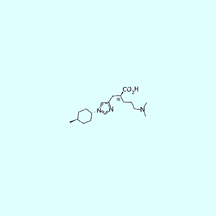 CN(C)CCC[C@@H](Cc1cn([C@H]2CC[C@H](C)CC2)cn1)C(=O)O